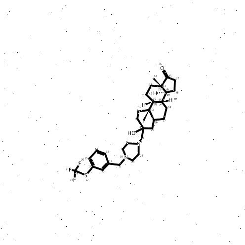 C[C@]12CCC(O)(CN3CCN(Cc4cccc(SC(F)(F)F)c4)CC3)CC1CC[C@@H]1[C@H]2CC[C@]2(C)C(=O)CC[C@@H]12